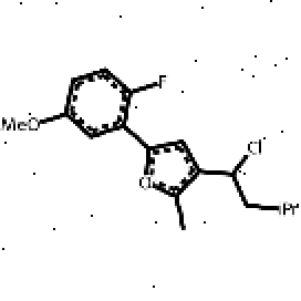 COc1ccc(F)c(-c2cc(C(Cl)CC(C)C)c(C)o2)c1